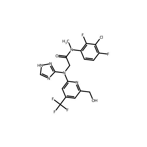 CN(C(=O)CN(c1cc(C(F)(F)F)cc(CO)n1)c1nc[nH]n1)c1ccc(F)c(Cl)c1F